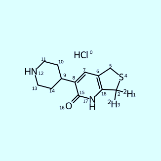 Cl.[2H]C1([2H])SCc2cc(C3CCNCC3)c(=O)[nH]c21